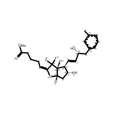 COC(=O)CCCC=C1O[C@H]2C[C@@H](O)[C@H](C=C[C@H](O)Cc3cccc(C)c3)[C@H]2C1(F)F